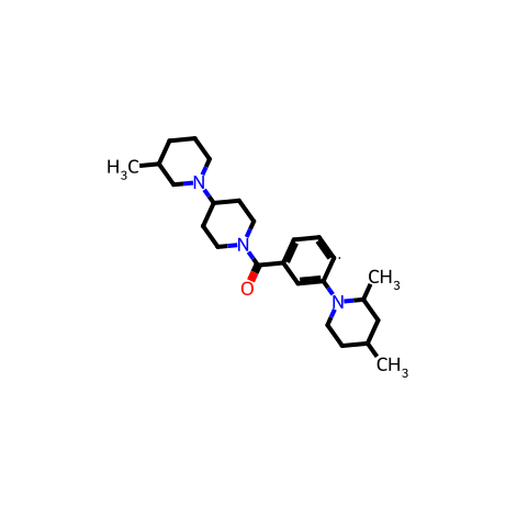 CC1CCN(c2[c]ccc(C(=O)N3CCC(N4CCCC(C)C4)CC3)c2)C(C)C1